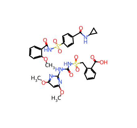 COc1cc(OC)nc(NC(=O)NS(=O)(=O)Cc2ccccc2C(=O)O)n1.COc1ccccc1C(=O)NS(=O)(=O)c1ccc(C(=O)NC2CC2)cc1